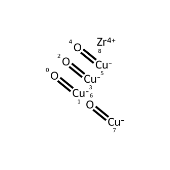 [O]=[Cu-].[O]=[Cu-].[O]=[Cu-].[O]=[Cu-].[Zr+4]